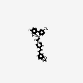 N#Cc1ccc(OCC(=O)N2CCC(CCc3ccc4c(c3)OCO4)CC2)c(-c2ccc(F)cc2O)c1